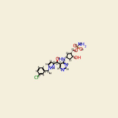 C[C@@H](c1cccc(Cl)c1)n1ccc(C(=O)c2cncnc2N[C@@H]2C[C@H](COS(N)(=O)=O)[C@@H](O)C2)n1